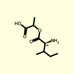 CCC(C)[C@H](N)C(=O)OC(C)C(=O)O